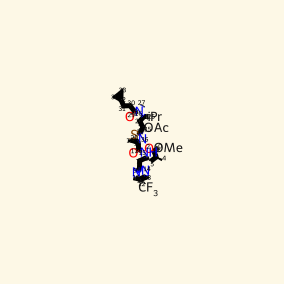 COC(=O)[C@@H](C)C[C@H](Cc1ncc(C(F)(F)F)cn1)NC(=O)c1csc([C@@H](CC(C(C)C)N(C)C(=O)CCC2CC2)OC(C)=O)n1